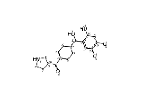 O=C([C@@H]1CCNC1)N1CCC(C(O)c2cc(Cl)c(Cl)cc2O)CC1